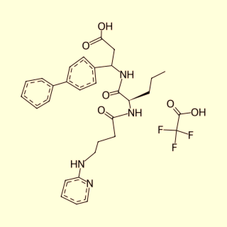 CCC[C@@H](NC(=O)CCCNc1ccccn1)C(=O)NC(CC(=O)O)c1ccc(-c2ccccc2)cc1.O=C(O)C(F)(F)F